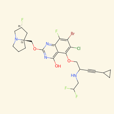 Oc1nc(OC[C@@]23CCCN2C[C@H](F)C3)nc2c(F)c(Br)c(Cl)c(OCC(C#CC3CC3)NCC(F)F)c12